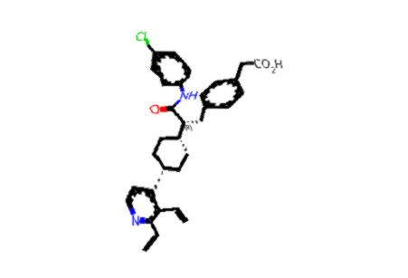 C=Cc1nccc([C@H]2CC[C@@H]([C@@H](Cc3ccc(CC(=O)O)cc3)C(=O)Nc3ccc(Cl)cc3)CC2)c1C=C